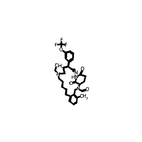 CCN(CCCCCc1cccc(C)c1CN(C=O)C1CCC(=O)NC1=O)CCC(C#N)c1cccc(OC(F)(F)F)c1